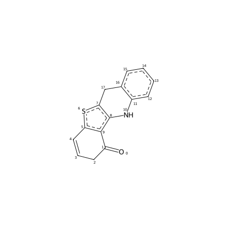 O=C1CC=Cc2sc3c(c21)Nc1ccccc1C3